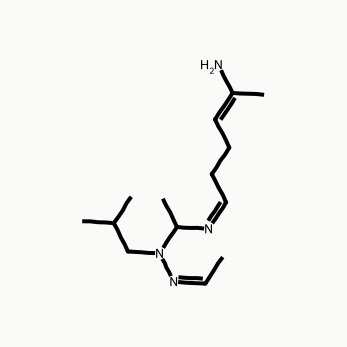 C/C=N\N(CC(C)C)C(C)/N=C\CC/C=C(\C)N